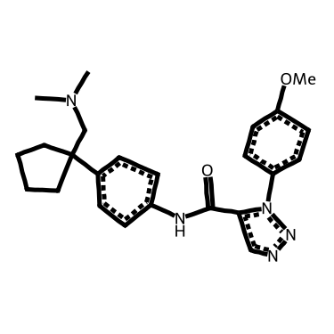 COc1ccc(-n2nncc2C(=O)Nc2ccc(C3(CN(C)C)CCCC3)cc2)cc1